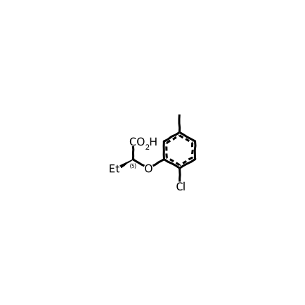 CC[C@H](Oc1cc(C)ccc1Cl)C(=O)O